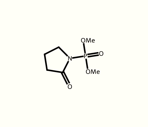 COP(=O)(OC)N1CCCC1=O